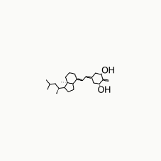 C=C1[C@H](O)CC(=C/C=C2\CCC[C@@]3(C)C2CCC3[C@@H](C)CC(C)C)C[C@H]1O